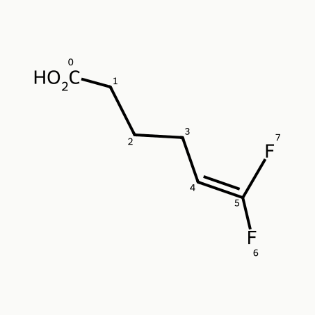 O=C(O)CCCC=C(F)F